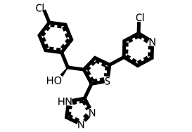 O[C@@H](c1ccc(Cl)cc1)c1cc(-c2ccnc(Cl)c2)sc1-c1nnc[nH]1